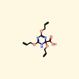 C=CCOC1=NC(OCC=C)(C(=O)O)NC(OCC=C)=N1